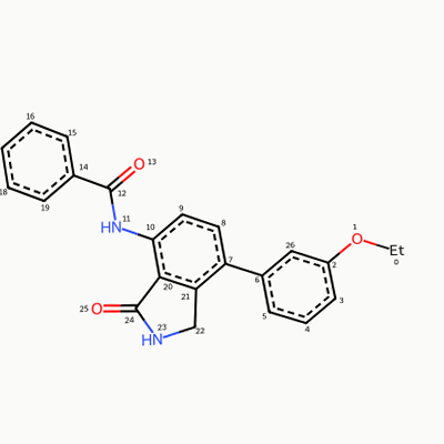 CCOc1cccc(-c2ccc(NC(=O)c3ccccc3)c3c2CNC3=O)c1